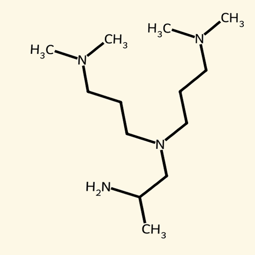 CC(N)CN(CCCN(C)C)CCCN(C)C